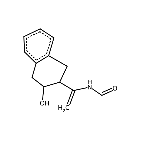 C=C(NC=O)C1Cc2ccccc2CC1O